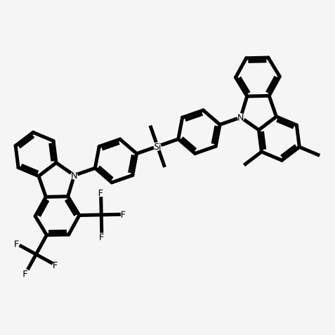 Cc1cc(C)c2c(c1)c1ccccc1n2-c1ccc([Si](C)(C)c2ccc(-n3c4ccccc4c4cc(C(F)(F)F)cc(C(F)(F)F)c43)cc2)cc1